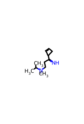 CC(C)N(C)CCC(=N)C1C=CC1